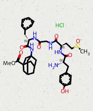 COC(=O)C12CC3CC(CC(NC(=O)[C@H](Cc4ccccc4)NC(=O)CNC(=O)[C@@H](CC[S+](C)[O-])NC(=O)[C@@H](N)Cc4ccc(O)cc4)(C3)C1)C2.Cl